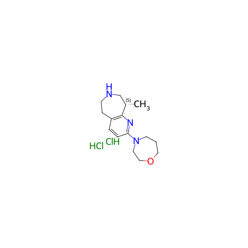 C[C@H]1CNCCc2ccc(N3CCCOCC3)nc21.Cl.Cl